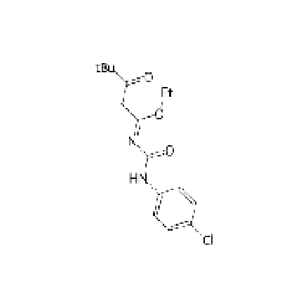 CCO/C(CC(=O)C(C)(C)C)=N\C(=O)Nc1ccc(Cl)cc1